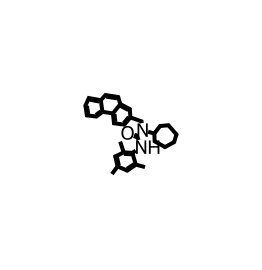 Cc1cc(C)c(NC(=O)N(Cc2ccc3c(ccc4ccccc43)c2)C2CCCCCC2)c(C)c1